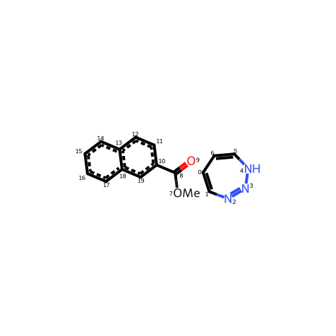 C1=CN=NNC=C1.COC(=O)c1ccc2ccccc2c1